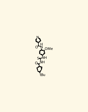 COc1cc(NC(=S)NC(=O)c2ccc(C(C)(C)C)cc2)ccc1NC(=O)c1ccncc1